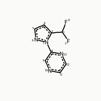 FC(F)c1[c]cnn1-c1cnccn1